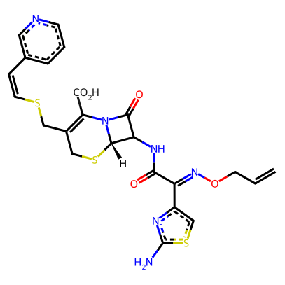 C=CCON=C(C(=O)NC1C(=O)N2C(C(=O)O)=C(CS/C=C\c3cccnc3)CS[C@@H]12)c1csc(N)n1